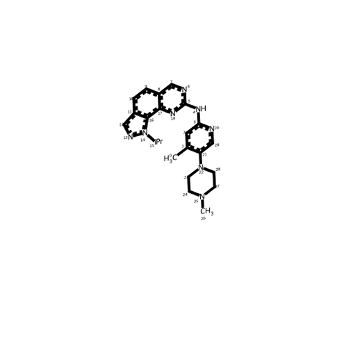 Cc1cc(Nc2ncc3ccc4cnn(C(C)C)c4c3n2)ncc1N1CCN(C)CC1